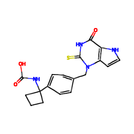 O=C(O)NC1(c2ccc(Cn3c(=S)[nH]c(=O)c4[nH]ccc43)cc2)CCC1